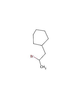 CC(Br)C[C]1CCCCC1